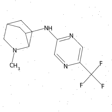 CN1CC2CCC1C(Nc1cnc(C(F)(F)F)cn1)C2